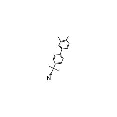 Cc1ccc(-c2ccc(C(C)(C)C#N)cc2)cc1C